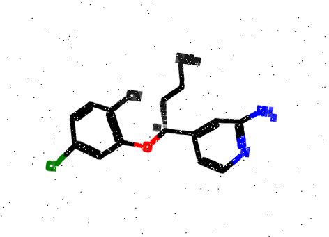 CNCC[C@@H](Oc1cc(Cl)ccc1C#N)c1ccnc(N)c1